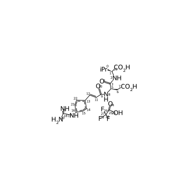 CC(C)[C@H](NC(=O)[C@@H](CC(=O)O)NC(=O)C=Cc1ccc(NC(=N)N)cc1)C(=O)O.O=C(O)C(F)(F)F